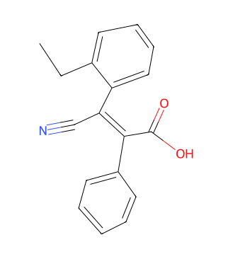 CCc1ccccc1C(C#N)=C(C(=O)O)c1ccccc1